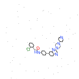 O=C(Cc1ccccc1Cl)Nc1ccc(-c2ccc3ncc(N4CCN(c5ccncc5)CC4)nc3c2)cc1